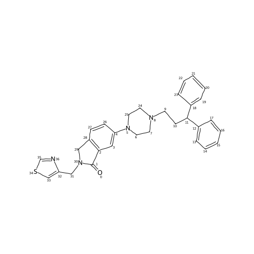 O=C1c2cc(N3CCN(CCC(c4ccccc4)c4ccccc4)CC3)ccc2CN1Cc1cscn1